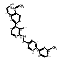 C=Nc1ccc(-c2ncnc(NCc3cnc(-c4ccnc(C)c4)nc3)c2F)cc1/C=C\C